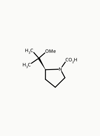 COC(C)(C)[C@@H]1CCCN1C(=O)O